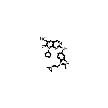 Cc1nc2cc(Nc3ncc4cc(C#N)c(=O)n(C5CCCC5)c4n3)ccc2n1CCN(C)C